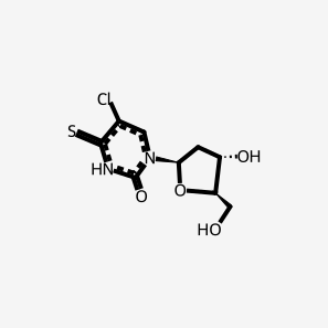 O=c1[nH]c(=S)c(Cl)cn1[C@H]1C[C@H](O)[C@@H](CO)O1